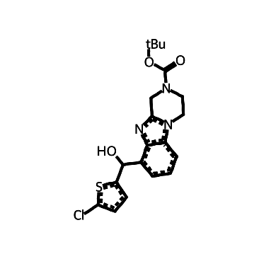 CC(C)(C)OC(=O)N1CCn2c(nc3c(C(O)c4ccc(Cl)s4)cccc32)C1